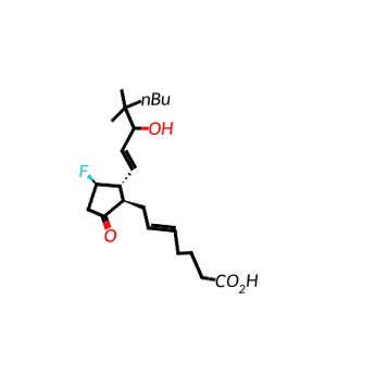 CCCCC(C)(C)C(O)C=C[C@H]1[C@H](F)CC(=O)[C@@H]1CC=CCCCC(=O)O